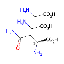 NC(=O)C[C@H](N)C(=O)O.NCC(=O)O.NCC(=O)O